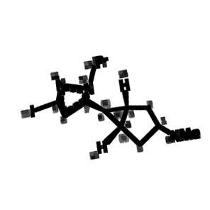 CNC1C[C@@H]2[C@H](C1)[C@H]2c1cc(I)nn1C(C)C